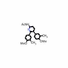 COc1ccc(-c2ccc(NC(C)=O)nc2-c2ccc(OC)c(C)c2)cc1C